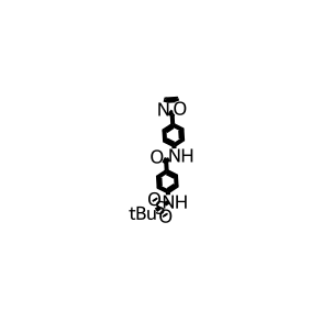 CC(C)(C)S(=O)(=O)Nc1ccc(C(=O)Nc2ccc(-c3ncco3)cc2)cc1